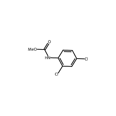 COC(=O)Nc1ccc(Cl)cc1Cl